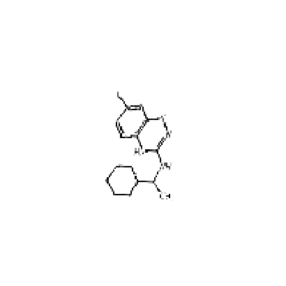 C[C@H](NC1=NSc2cc(I)ccc2N1)C1CCCCC1